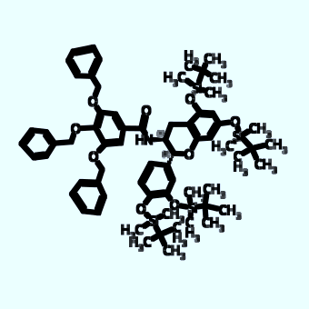 CC(C)(C)[Si](C)(C)Oc1cc2c(c(O[Si](C)(C)C(C)(C)C)c1)C[C@H](NC(=O)c1cc(OCc3ccccc3)c(OCc3ccccc3)c(OCc3ccccc3)c1)[C@@H](c1ccc(O[Si](C)(C)C(C)(C)C)c(O[Si](C)(C)C(C)(C)C)c1)O2